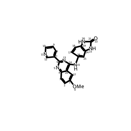 COc1ccc2nc(-c3cccnc3)nc(Nc3ccc4[nH]c(=O)[nH]c4c3)c2c1